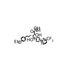 CCOc1ccc(CCC[C@@H](C(O)N2CCN(c3nccc(C(F)(F)F)n3)CC2)[C@H](O)C(=O)NO)cc1